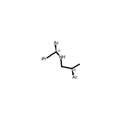 CC(=O)[C@H](C)CN[C@H](C(C)=O)C(C)C